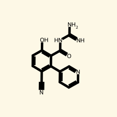 N#Cc1ccc(O)c(C(=O)NC(=N)N)c1-c1cccnc1